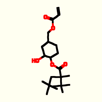 C=CC(=O)OCC1CCC(OC(=O)C(C)(CC(C)(C)C)C(C)(C)C)C(O)C1